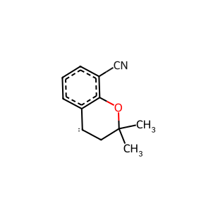 CC1(C)C[C]c2cccc(C#N)c2O1